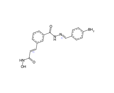 Bc1ccc(/C=N/NC(=O)c2cccc(/C=C/C(=O)NO)c2)cc1